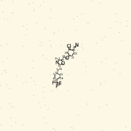 Cc1nc(CCc2ccc(C(F)(F)F)cc2)oc1COc1ccc(C#N)c(Cl)c1